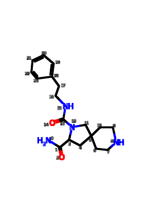 NC(=O)C1CC2(CCNCC2)CN1C(=O)NCCc1ccccc1